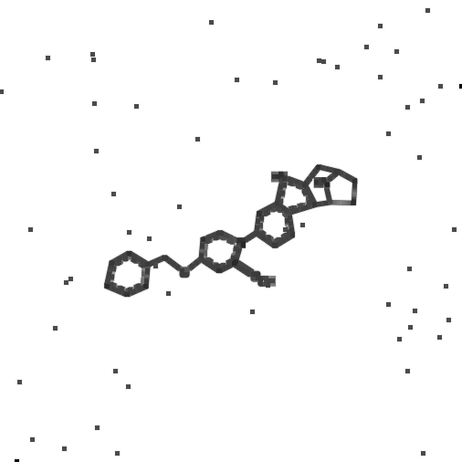 Cl.O=c1cc(OCc2ccccc2)ccn1-c1ccc2c3c([nH]c2c1)CC1CCC3N1